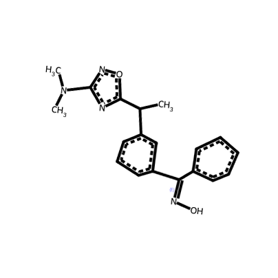 CC(c1cccc(/C(=N/O)c2ccccc2)c1)c1nc(N(C)C)no1